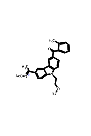 CCOCCn1c2ccc(C(=O)c3ccccc3C(F)(F)F)cc2c2cc(/C(C)=N/OC(C)=O)ccc21